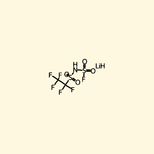 O=S(=O)(F)NS(=O)(=O)C(F)(F)C(F)(F)F.[LiH]